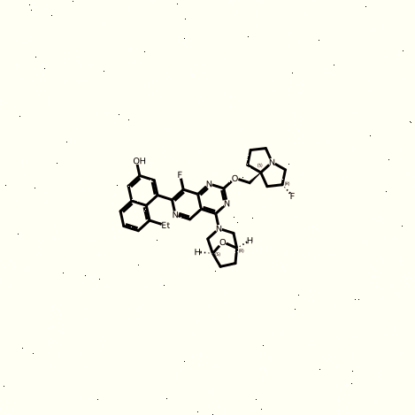 CCc1cccc2cc(O)cc(-c3ncc4c(N5C[C@H]6CC[C@@H](C5)O6)nc(OC[C@@]56CCCN5C[C@H](F)C6)nc4c3F)c12